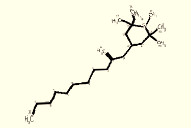 C=C(CCCCCCCCC)CC1CC(C)(C)N(C)C(C)(C)C1